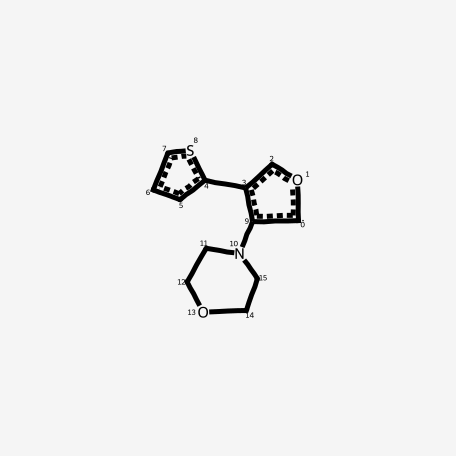 [c]1occ(-c2cccs2)c1N1CCOCC1